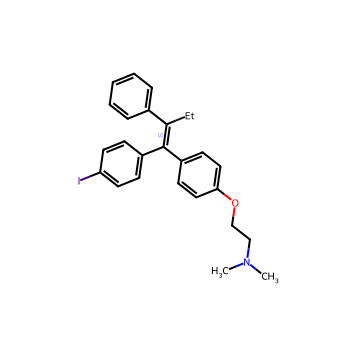 CC/C(=C(/c1ccc(I)cc1)c1ccc(OCCN(C)C)cc1)c1ccccc1